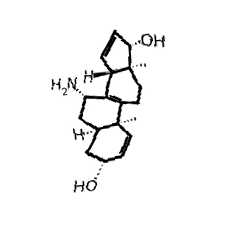 C[C@]12CCC3=C([C@@H](N)C[C@@H]4C[C@@H](O)C=C[C@]34C)[C@@H]1C=C[C@@H]2O